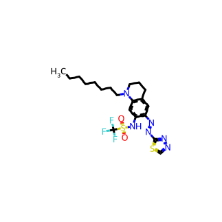 CCCCCCCCN1CCCc2cc(N=Nc3nncs3)c(NS(=O)(=O)C(F)(F)F)cc21